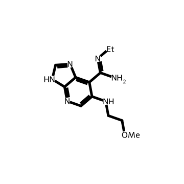 CCN=C(N)c1c(NCCOC)cnc2[nH]cnc12